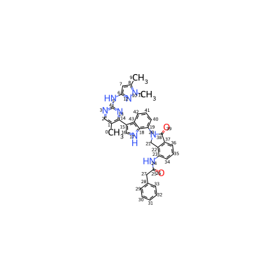 Cc1cnc(Nc2cc(C)n(C)n2)nc1-c1c[nH]c2c(N3Cc4c(NC(=O)Cc5ccccc5)cccc4C3=O)cccc12